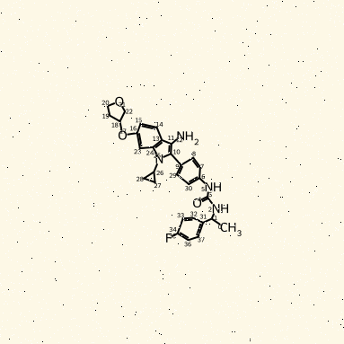 CC(NC(=O)Nc1ccc(-c2c(N)c3ccc(OC4CCOC4)cc3n2C2CC2)cc1)c1ccc(F)cc1